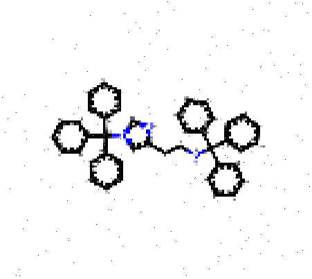 c1ccc(C(NCCc2cn(C(c3ccccc3)(c3ccccc3)c3ccccc3)cn2)(c2ccccc2)c2ccccc2)cc1